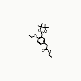 CCOC(=O)Cc1ccc(OCC)c(B2OC(C)(C)C(C)(C)O2)c1